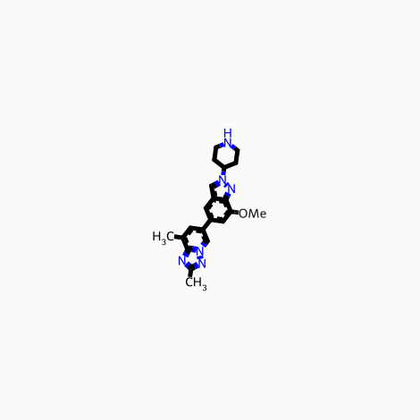 COc1cc(-c2cc(C)c3nc(C)nn3c2)cc2cn(C3CCNCC3)nc12